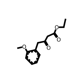 CCOC(=O)CC(=O)Cc1ccccc1OC